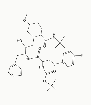 COC1CCC(C(=O)NC(C)(C)C)C(CC(O)C(Cc2ccccc2)NC(=O)C(CSc2ccc(F)cc2)NC(=O)OC(C)(C)C)C1